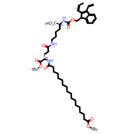 C=CC1=C(/C=C\C)C(COC(=O)N[C@@H](CCCCNC(=O)CC[C@H](NC(=O)CCCCCCCCCCCCCCCCC(=O)OC(C)(C)C)C(=O)OC(C)(C)C)C(=O)O)c2ccccc21